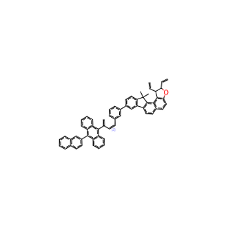 C=CC1Oc2ccc3ccc4c(c3c2C1C=C)C(C)(C)c1ccc(-c2cccc(/C=C\C(=C)c3c5ccccc5c(-c5ccc6ccccc6c5)c5ccccc35)c2)cc1-4